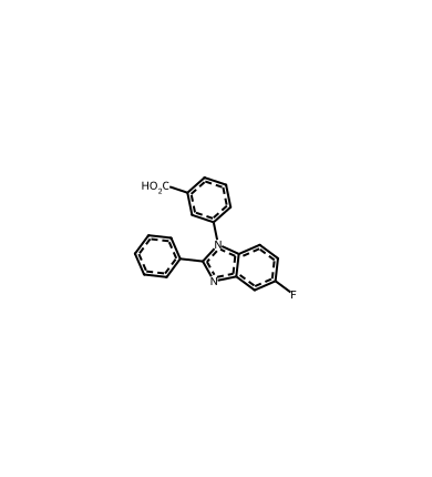 O=C(O)c1cccc(-n2c(-c3ccccc3)nc3cc(F)ccc32)c1